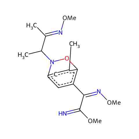 CON=C(C(=N)OC)c1cc2cc(C)c1ON2C(C)C(C)=NOC